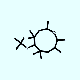 CC1CC(C)(C)C(SC(C)(C)C)C(C)(C)CC(C)C(C)O1